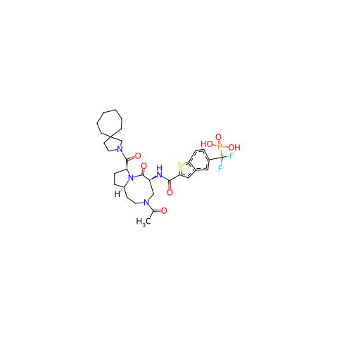 CC(=O)N1CC[C@H]2CC[C@@H](C(=O)N3CCC4(CCCCCC4)C3)N2C(=O)[C@@H](NC(=O)c2cc3cc(C(F)(F)P(=O)(O)O)ccc3s2)C1